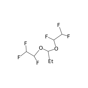 CCC(OC(F)C(F)F)OC(F)C(F)F